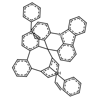 C=CNc1c2cc(-c3ccccc3)cc1C1(c3cc(-c4ccccc4)ccc3-c3ccccc3-2)c2ccccc2-n2c3ccccc3c3cccc1c32